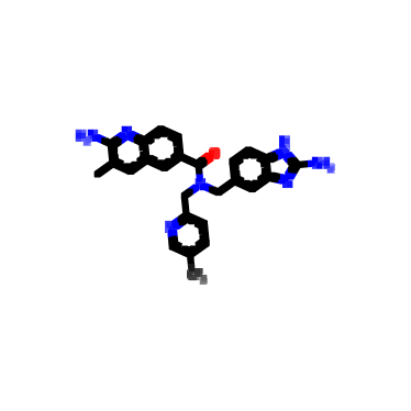 Cc1cc2cc(C(=O)N(Cc3ccc4[nH]c(N)nc4c3)Cc3ccc(C(F)(F)F)cn3)ccc2nc1N